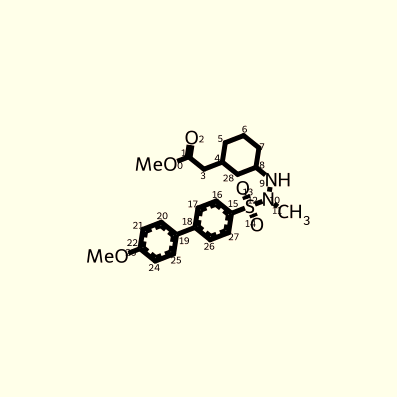 COC(=O)CC1CCCC(NN(C)S(=O)(=O)c2ccc(-c3ccc(OC)cc3)cc2)C1